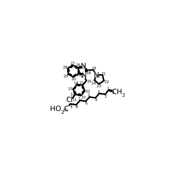 C=CCCCCCCCCC(=O)O.Clc1ccc(Cn2c(CN3CCCC3)nc3ccccc32)cc1